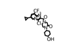 O=C(c1nc2c(C(F)(F)F)cc(C3CC3)cn2c1Cl)N1CCN([C@H]2CC[C@H](O)CC2)C(=O)C1